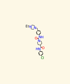 CCN1CCN(Cc2ccc(NC(=O)N3CCC(C(=O)Nc4ccc(Cl)cc4)CC3)cc2)CC1